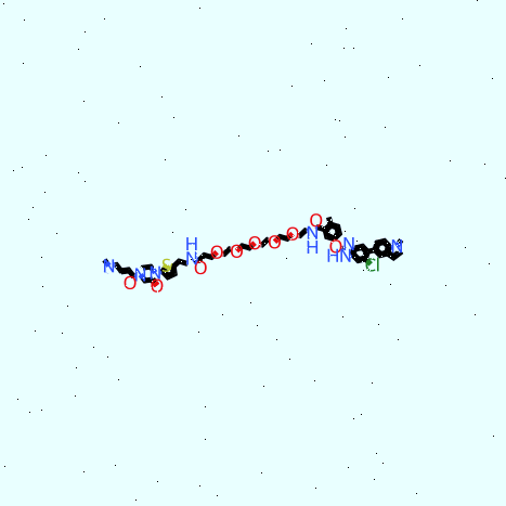 Cc1ccc(Oc2nc3cc(-c4ccc5c(ccn5C)c4)c(Cl)cc3[nH]2)cc1C(=O)NCCOCCOCCOCCOCCOCCC(=O)NCCc1ccc(N2CCN(C(=O)/C=C/CN(C)C)CC2=O)s1